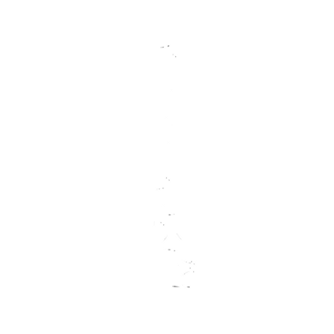 CS(=O)(=O)c1nnc(-c2ccc(NC(=O)CCC(=O)NCCCOCCOCCOCCCNC(=O)O)cc2)o1